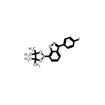 CC1(C)OB(c2cccc3c(-c4ccc(F)cc4)noc23)OC1(C)C